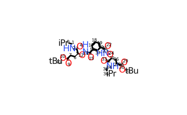 CC(C)CNC(=O)[C@H](CCC(=O)OC(C)(C)C)ONC(=O)c1cccc(C(=O)NO[C@@H](CCC(=O)OC(C)(C)C)C(=O)NCC(C)C)c1